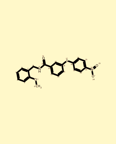 COc1ccccc1CNC(=O)c1cccc(Sc2ccc([N+](=O)[O-])cc2)c1